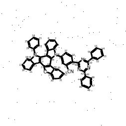 N#Cc1cc(-n2c3ccccc3c3c4c(c5ccccc5n4-c4ccccc4)c4oc5ccccc5c4c32)ccc1-c1nc(-c2ccccc2)nc(-c2ccccc2)n1